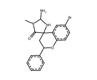 CN1C(=O)C2(CC(c3ccccc3)Oc3ccc(Br)cc32)NC1N